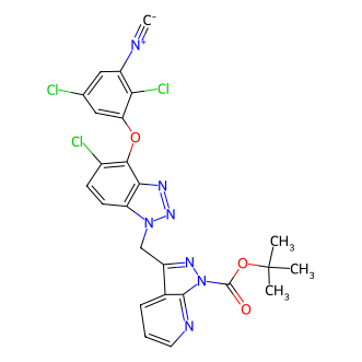 [C-]#[N+]c1cc(Cl)cc(Oc2c(Cl)ccc3c2nnn3Cc2nn(C(=O)OC(C)(C)C)c3ncccc23)c1Cl